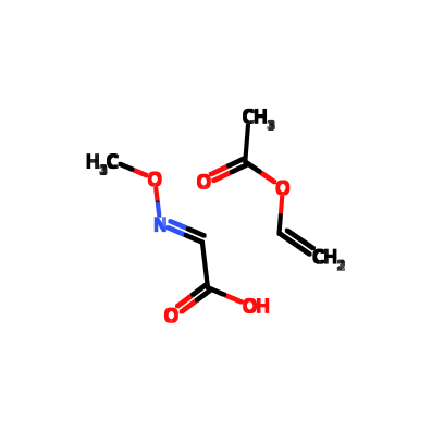 C=COC(C)=O.CON=CC(=O)O